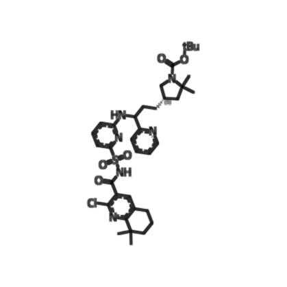 CC(C)(C)OC(=O)N1C[C@@H](CCC(Nc2cccc(S(=O)(=O)NC(=O)c3cc4c(nc3Cl)C(C)(C)CCC4)n2)c2ccccn2)CC1(C)C